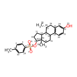 Cc1ccc(S(=O)(=O)O[C@H]2CCC3C4C(CC[C@@]32C)c2ccc(O)cc2C[C@H]4C)cc1